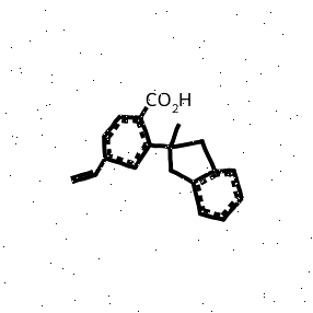 C=Cc1ccc(C(=O)O)c(C2(C)Cc3ccccc3C2)c1